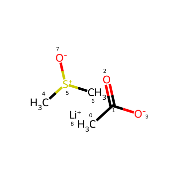 CC(=O)[O-].C[S+](C)[O-].[Li+]